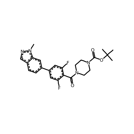 Cn1ncc2ccc(-c3cc(F)c(C(=O)N4CCN(C(=O)OC(C)(C)C)CC4)c(F)c3)cc21